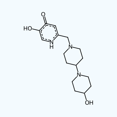 O=c1cc(CN2CCC(N3CCC(O)CC3)CC2)[nH]cc1O